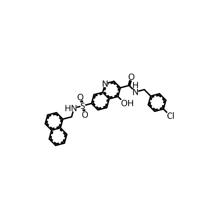 O=C(NCc1ccc(Cl)cc1)c1cnc2cc(S(=O)(=O)NCc3cccc4ccccc34)ccc2c1O